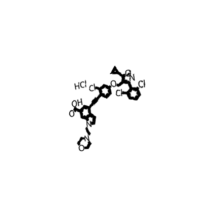 Cl.O=C(O)c1cc(C#Cc2ccc(OCc3c(-c4c(Cl)cccc4Cl)noc3C3CC3)cc2Cl)c2ccn(CCN3CCOCC3)c2c1